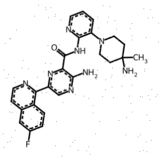 CC1(N)CCN(c2cccnc2NC(=O)c2nc(-c3nccc4cc(F)ccc34)cnc2N)CC1